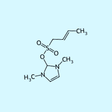 CC=CCS(=O)(=O)OC1N(C)C=CN1C